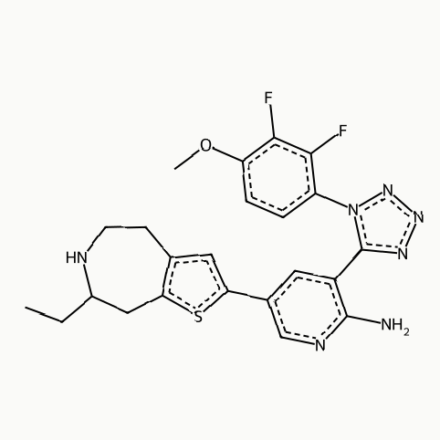 CCC1Cc2sc(-c3cnc(N)c(-c4nnnn4-c4ccc(OC)c(F)c4F)c3)cc2CCN1